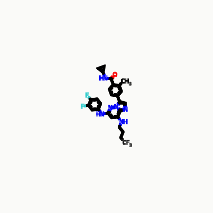 Cc1cc(-c2cnc3c(NCCCC(F)(F)F)cc(Nc4ccc(F)c(F)c4)nn23)ccc1C(=O)NC1CC1